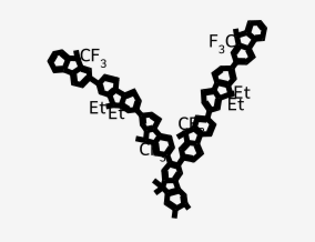 CCC1(CC)c2cc(-c3ccc4c(c3)C(C)(C(F)(F)F)c3ccccc3-4)ccc2-c2ccc(-c3ccc4c(c3)C(C)(C(F)(F)F)c3cc(-c5cc6c(cc5-c5ccc7c(c5)C(C)(C(F)(F)F)c5cc(-c8ccc9c(c8)C(CC)(CC)c8cc(-c%10ccc%11c(c%10)C(C)(C(F)(F)F)c%10ccccc%10-%11)ccc8-9)ccc5-7)C(C)(C)c5cc(C)c(C)cc5-6)ccc3-4)cc21